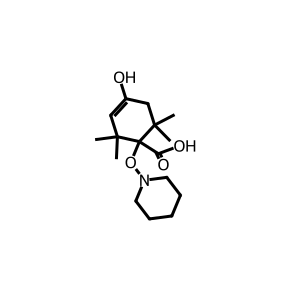 CC1(C)C=C(O)CC(C)(C)C1(ON1CCCCC1)C(=O)O